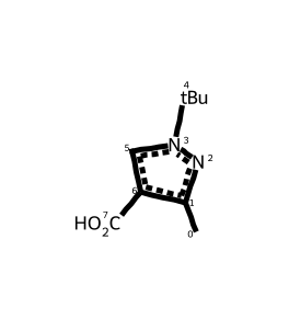 Cc1nn(C(C)(C)C)cc1C(=O)O